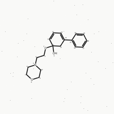 OC1(OCCN2CCOCC2)C=CC=C(c2ccccc2)C1